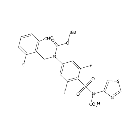 CC(C)(C)OC(=O)N(Cc1c(F)cccc1C=O)c1cc(F)c(S(=O)(=O)N(C(=O)O)c2cscn2)c(F)c1